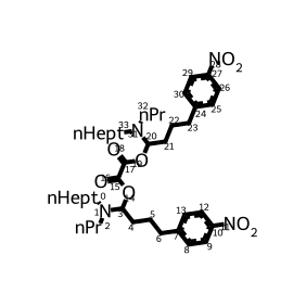 CCCCCCCN(CCC)C(CCCc1ccc([N+](=O)[O-])cc1)OC(=O)C(=O)OC(CCCc1ccc([N+](=O)[O-])cc1)N(CCC)CCCCCCC